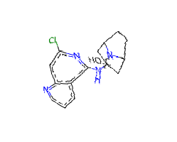 O=C(O)N1C2CCC1CC(Nc1nc(Cl)cc3ncccc13)C2